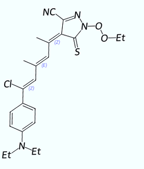 CCOON1N=C(C#N)/C(=C(C)/C=C(C)/C=C(\Cl)c2ccc(N(CC)CC)cc2)C1=S